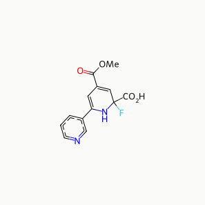 COC(=O)C1=CC(F)(C(=O)O)NC(c2cccnc2)=C1